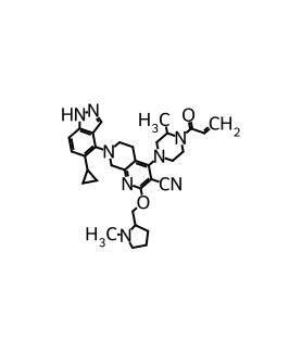 C=CC(=O)N1CCN(c2c(C#N)c(OCC3CCCN3C)nc3c2CCN(c2c(C4CC4)ccc4[nH]ncc24)C3)CC1C